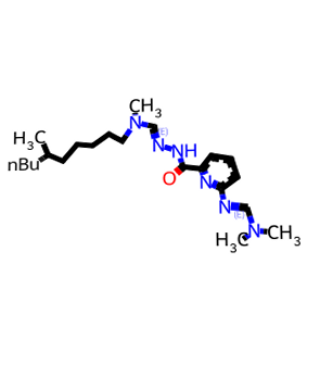 CCCCC(C)CCCCCN(C)/C=N/NC(=O)c1cccc(/N=C/N(C)C)n1